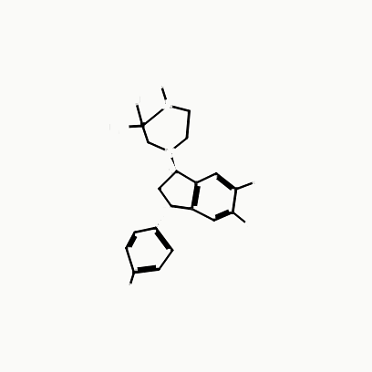 CN1CCN([C@@H]2C[C@@H](c3ccc(F)cc3)c3cc(Cl)c(Cl)cc32)CC1(C)C